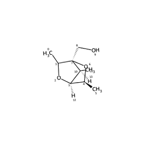 CC1O[C@@H]2[C@H](C)O[C@@]1(CO)[C@H]2C